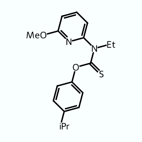 CCN(C(=S)Oc1ccc(C(C)C)cc1)c1cccc(OC)n1